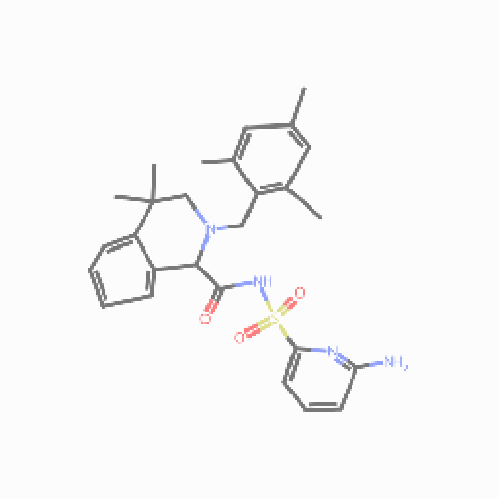 Cc1cc(C)c(CN2CC(C)(C)c3ccccc3C2C(=O)NS(=O)(=O)c2cccc(N)n2)c(C)c1